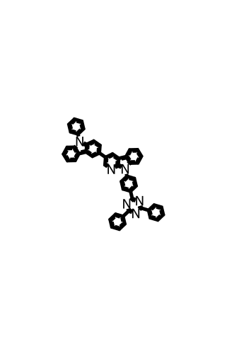 c1ccc(-c2nc(-c3ccccc3)nc(-c3ccc(-n4c5ccccc5c5cc(-c6ccc7c(c6)c6ccccc6n7-c6ccccc6)cnc54)cc3)n2)cc1